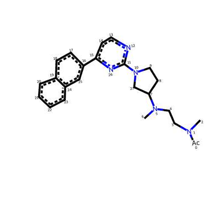 CC(=O)N(C)CCN(C)C1CCN(c2nccc(-c3ccc4ccccc4c3)n2)C1